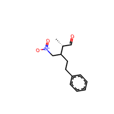 C[C@H](C=O)C(CCc1ccccc1)C[N+](=O)[O-]